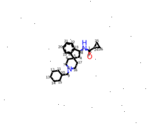 O=C(N[C@H]1CC2(CCN(CC3CCCCC3)CC2)c2ccccc21)C1CC1